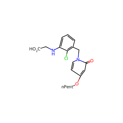 CCCCCOc1ccn(Cc2cccc(NCC(=O)O)c2Cl)c(=O)c1